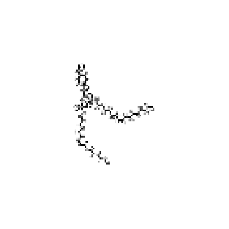 CCCCCCCC/C=C\CCCCCCCC(=O)OC[C@H](COc1ccc(C=O)cc1)OC(=O)CCCCCCC/C=C\CCCCCCCC